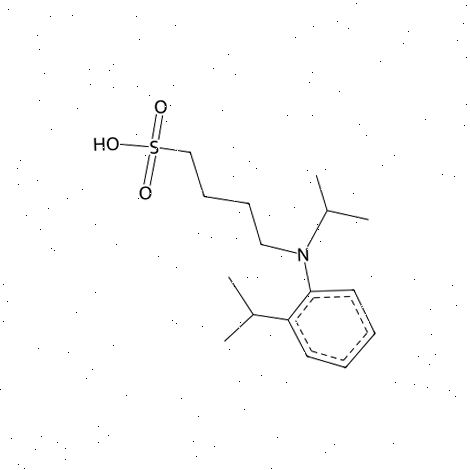 CC(C)c1ccccc1N(CCCCS(=O)(=O)O)C(C)C